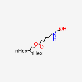 CCCCCCC(CCCCCC)CCOC(=O)CCCCCNCCO